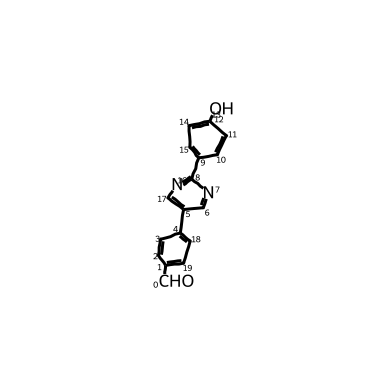 O=Cc1ccc(-c2cnc(-c3ccc(O)cc3)nc2)cc1